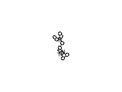 c1cc(-c2ccc3sc4nc5c6ccccc6c6ccccc6c5nc4c3c2)cc(-n2c3ccc4ccccc4c3c3c4ccccc4ccc32)c1